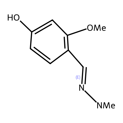 CN/N=C/c1ccc(O)cc1OC